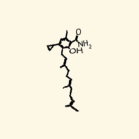 CC(C)=CCC/C(C)=C/CC/C(C)=C/Cc1c(C2CC2)cc(C)c(C(N)=O)c1O